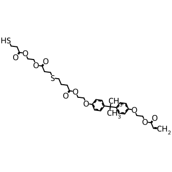 C=CC(=O)OCCOc1ccc(C(C)(C)c2ccc(OCCOC(=O)CCCSCCC(=O)OCCOC(=O)CCS)cc2)cc1